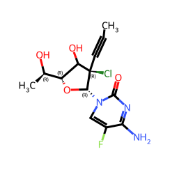 CC#C[C@@]1(Cl)C(O)[C@@H]([C@@H](C)O)O[C@H]1n1cc(F)c(N)nc1=O